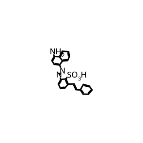 Nc1ccc(N=Nc2cccc(C=Cc3ccccc3)c2S(=O)(=O)O)c2ccccc12